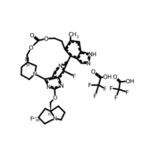 Cc1cc2[nH]ncc2c2c1CCOC(=O)OC[C@@H]1CCCN(C1)c1nc(OC[C@@]34CCCN3C[C@H](F)C4)nc3c(F)c-2ncc13.O=C(O)C(F)(F)F.O=C(O)C(F)(F)F